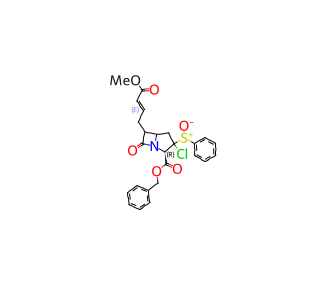 COC(=O)/C=C/CC1C(=O)N2C1CC(Cl)([S+]([O-])c1ccccc1)[C@H]2C(=O)OCc1ccccc1